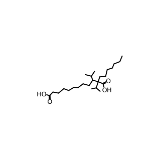 CCCCCCCC(C(=O)O)(C(C)C)C(CCCCCCCCC(=O)O)C(C)C